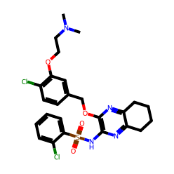 CN(C)CCOc1cc(COc2nc3c(nc2NS(=O)(=O)c2ccccc2Cl)CCCC3)ccc1Cl